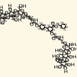 CC(=O)NC1C(O)[C@H](O[C@@H]2OC(CO)[C@H](O)C(O[C@H]3OC(CO)[C@H](O)C(O)C3O)C2O)C(CO)O[C@H]1OCCCNC(=O)COc1cc(C(=O)OCc2ccccc2)cc(-c2ccc(OCC(=O)NCCCO[C@@H]3OC(CO)[C@@H](O[C@@H]4OC(CO)[C@H](O)C(O[C@H]5OC(CO)[C@H](O)C(O)[C@H]5O)C4O)C(O)C3NC(C)=O)cc2)c1